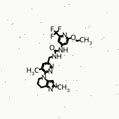 CCOc1cc(NC(=O)NCc2cc(C)c(N3CCCc4nn(C)cc43)nn2)cc(C(F)(F)F)n1